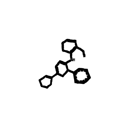 CCC1=C(NC2=CC=C(C3=CCCCC3)CC2c2ccccc2)CCC=C1